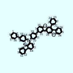 c1ccc(-c2ccc(N(c3ccc(-c4ccc5oc6c(-c7ccccc7)c7c(cc6c5c4)oc4ccccc47)cc3)c3cccc4c3sc3ccccc34)cc2)cc1